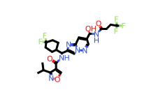 CC(C)c1nocc1C(=O)N[C@H](c1cn2ncc([C@@H](O)NC(=O)CCC(F)(F)F)cc2n1)C1CCC(F)(F)CC1